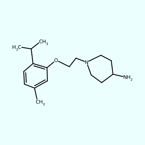 Cc1ccc(C(C)C)c(OCCN2CCC(N)CC2)c1